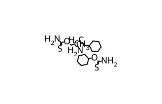 CC(N)C1CCCCC1.CCOC(N)=S.NC(=S)OC1CCCCC1